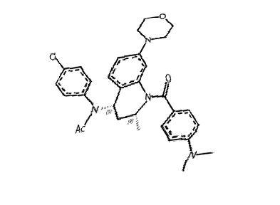 CC(=O)N(c1ccc(Cl)cc1)[C@H]1C[C@@H](C)N(C(=O)c2ccc(N(C)C)cc2)c2cc(N3CCOCC3)ccc21